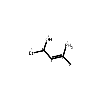 CCC(O)C=C(C)P